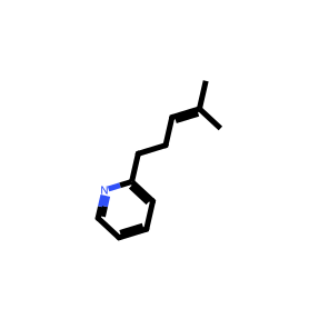 CC(C)=CCCc1ccccn1